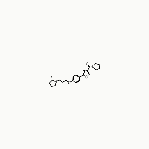 CC1CCCN1CCCOc1ccc(-c2nc(C(=O)N3CCCC3)co2)cc1